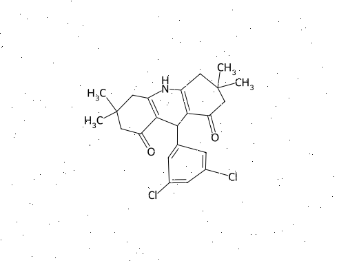 CC1(C)CC(=O)C2=C(C1)NC1=C(C(=O)CC(C)(C)C1)C2c1cc(Cl)cc(Cl)c1